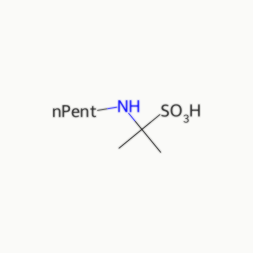 CCCCCNC(C)(C)S(=O)(=O)O